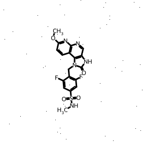 CNS(=O)(=O)c1cc(F)c(Cn2c(=O)[nH]c3cnc4nc(OC)ccc4c32)c(F)c1